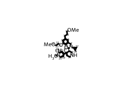 COCCCc1cc(CN(C(=O)[C@H]2CNCC[C@]2(C)c2ccn(C)c(=O)c2)C2CC2)cc(OCCOC)c1